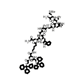 CSCC[C@H](NC(=O)[C@H](CC(C)C)NC(=O)[C@H](Cc1c[nH]cn1)NC(=O)CNC(=O)[C@@H](NC(=O)[C@H](C)NC(=O)[C@H](Cc1c[nH]c2ccccc12)NC(=O)[C@H](CCC(N)=O)NC(=O)CCCCNC(=O)C(CNC(=O)CSC(c1ccccc1)(c1ccccc1)c1ccccc1)NC(=O)CSC(c1ccccc1)(c1ccccc1)c1ccccc1)C(C)C)C(N)=O